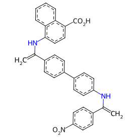 C=C(Nc1ccc(-c2ccc(C(=C)Nc3ccc(C(=O)O)c4ccccc34)cc2)cc1)c1ccc([N+](=O)[O-])cc1